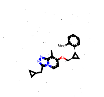 COc1ccccc1[C@@H]1C[C@H]1COc1ccn2c(CC3CC3)nnc2c1C